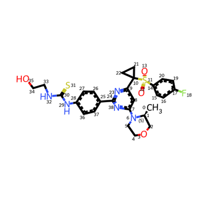 C[C@H]1COCCN1c1cc(C2(S(=O)(=O)c3ccc(F)cc3)CC2)nc(-c2ccc(NC(=S)NCCO)cc2)n1